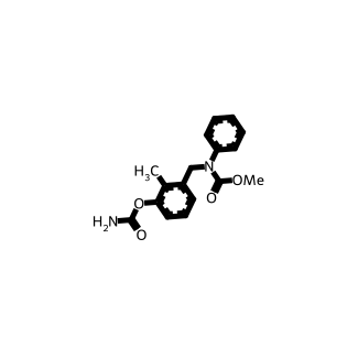 COC(=O)N(Cc1cccc(OC(N)=O)c1C)c1ccccc1